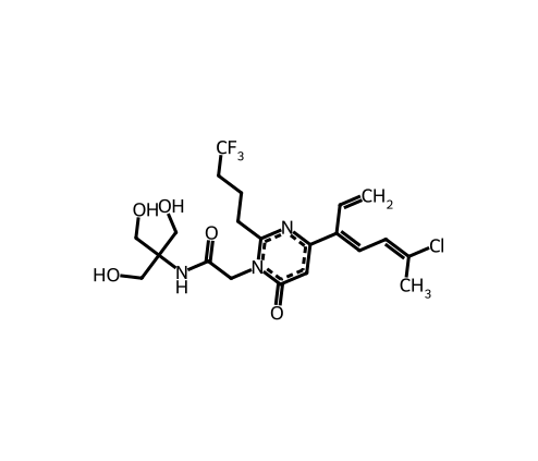 C=C/C(=C\C=C(/C)Cl)c1cc(=O)n(CC(=O)NC(CO)(CO)CO)c(CCCC(F)(F)F)n1